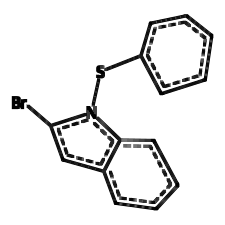 Brc1cc2ccccc2n1Sc1ccccc1